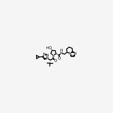 CC(C)(C)[C@@H](C(=O)N1C[C@H](O)C[C@H]1C(=O)NCC1CCCc2nccn21)n1cc(C2CC2)nn1